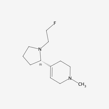 CN1CC=C([C@@H]2CCCN2CCF)CC1